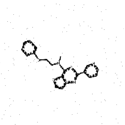 CN(CCOc1ccccc1)c1nc(-c2cccnc2)nc2ccoc12